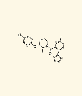 Cc1ccc(-n2nccn2)c(C(=O)N2CCC[C@@H](Oc3ncc(Cl)cn3)[C@@H]2C)n1